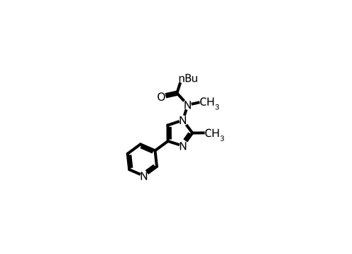 CCCCC(=O)N(C)n1cc(-c2cccnc2)nc1C